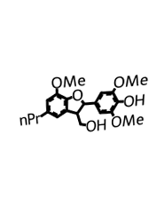 CCCc1cc(OC)c2c(c1)C(CO)C(c1cc(OC)c(O)c(OC)c1)O2